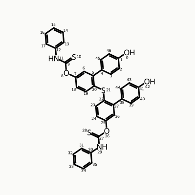 Oc1ccc(-c2cc(OC(=S)Nc3ccccc3)ccc2Sc2ccc(OC(=S)Nc3ccccc3)cc2-c2ccc(O)cc2)cc1